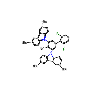 CC(C)(C)C1=CC2c3cc(C(C)(C)C)ccc3N(c3cc(-c4c(F)cccc4F)cc(-n4c5ccc(C(C)(C)C)cc5c5cc(C(C)(C)C)ccc54)c3C#N)C2C=C1